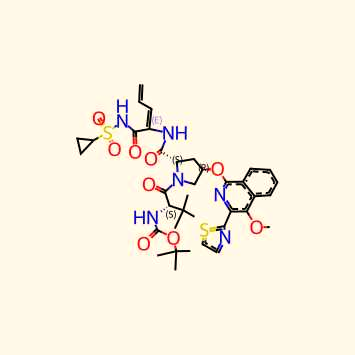 C=C/C=C(/NC(=O)[C@@H]1C[C@@H](Oc2nc(-c3nccs3)c(OC)c3ccccc23)CN1C(=O)[C@@H](NC(=O)OC(C)(C)C)C(C)(C)C)C(=O)NS(=O)(=O)C1CC1